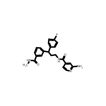 CNC(=O)c1cccc(C(CCNC(=O)c2ccnc(N)c2)c2ccc(F)cc2)c1